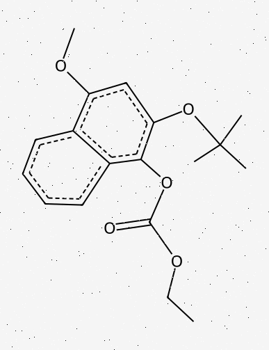 CCOC(=O)Oc1c(OC(C)(C)C)cc(OC)c2ccccc12